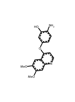 COc1cc2nccc(Oc3ccc(N)c(O)c3)c2cc1OC